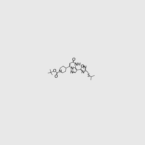 CC(C)SCc1noc(-c2cnn3c(C4CCN(C(=O)OC(C)(C)C)CC4)cc(=O)[nH]c23)n1